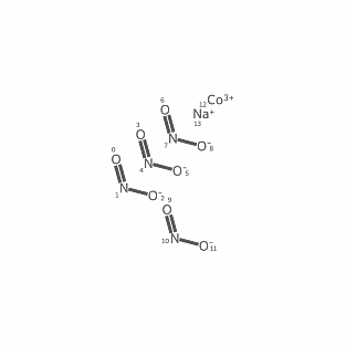 O=N[O-].O=N[O-].O=N[O-].O=N[O-].[Co+3].[Na+]